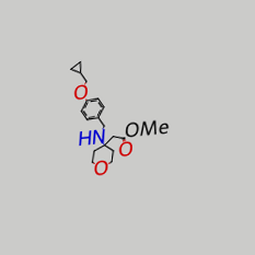 COC(=O)CC1(NCc2ccc(OCC3CC3)cc2)CCOCC1